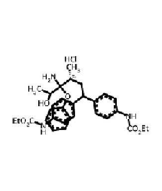 CCOC(=O)Nc1ccc(C(C[C@@H](C)C(N)(Oc2ccccc2)C(C)O)c2ccc(NC(=O)OCC)cc2)cc1.Cl